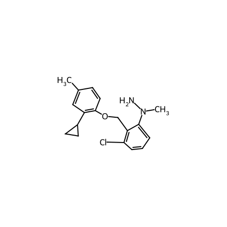 Cc1ccc(OCc2c(Cl)cccc2N(C)N)c(C2CC2)c1